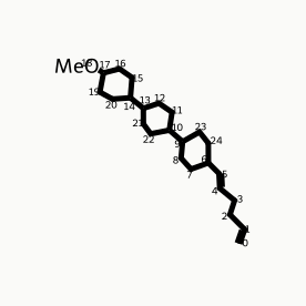 C=CCC/C=C/C1CCC(C2CCC(C3CCC(OC)CC3)CC2)CC1